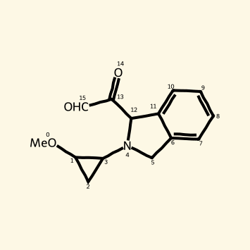 COC1CC1N1Cc2ccccc2C1C(=O)C=O